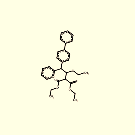 CCOC(=O)C(C(=O)OCC)C(OCC)C(c1ccc(-c2ccccc2)cc1)c1ccccn1